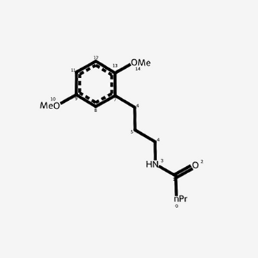 CCCC(=O)NCCCc1cc(OC)ccc1OC